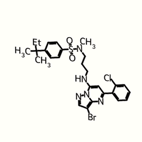 CCC(C)(C)c1ccc(S(=O)(=O)N(C)CCCNc2cc(-c3ccccc3Cl)nc3c(Br)cnn23)cc1